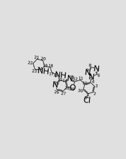 Clc1ccc(-n2cncn2)c(Cc2nc3c(NCCC4CCCCN4)nccc3o2)c1